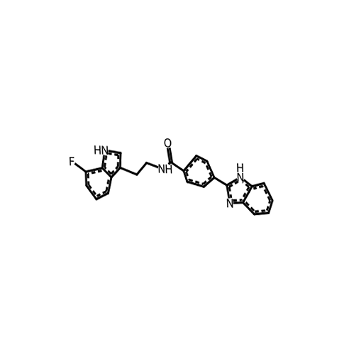 O=C(NCCc1c[nH]c2c(F)cccc12)c1ccc(-c2nc3ccccc3[nH]2)cc1